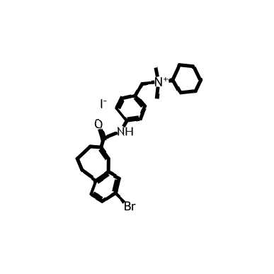 C[N+](C)(Cc1ccc(NC(=O)C2=Cc3cc(Br)ccc3CCC2)cc1)C1CCCCC1.[I-]